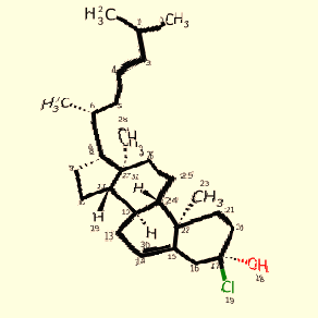 CC(C)CCC[C@@H](C)[C@H]1CC[C@H]2[C@@H]3CC=C4C[C@](O)(Cl)CC[C@]4(C)[C@H]3CC[C@]12C